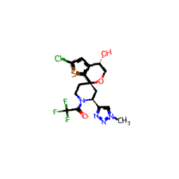 Cn1cc([C@@H]2C[C@]3(CCN2C(=O)C(F)(F)F)OC[C@@H](O)c2cc(Cl)sc23)nn1